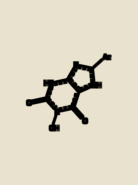 CC(=O)c1nc2[nH]c(=O)n(O)c(=O)c2[nH]1